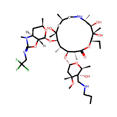 CCCNC[C@]1(O)[C@H](C)O[C@@H](O[C@H]2[C@H](C)[C@@H](O[C@@H]3O[C@H](C)C[C@H]4[C@H]3O/C(=N\CC(F)(F)F)N4C)[C@](C)(O)C[C@@H](C)CN[C@H](C)[C@@H](O)[C@](C)(O)[C@@H](CC)OC(=O)[C@@H]2C)C[C@@]1(C)OC